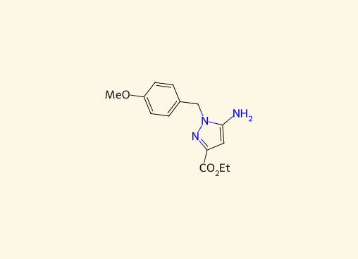 CCOC(=O)c1cc(N)n(Cc2ccc(OC)cc2)n1